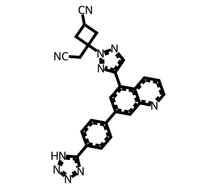 N#CCC1(n2ncc(-c3cc(-c4ccc(-c5nnn[nH]5)cc4)cc4ncccc34)n2)CC(C#N)C1